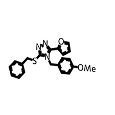 COc1ccc(Cn2c(SCc3ccccc3)nnc2-c2ccco2)cc1